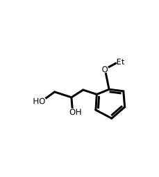 CCOc1ccccc1CC(O)CO